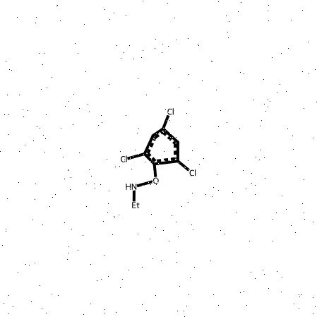 CCNOc1c(Cl)cc(Cl)cc1Cl